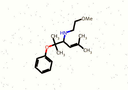 COCCNC(C=C(C)C)C(C)(C)Oc1ccccc1